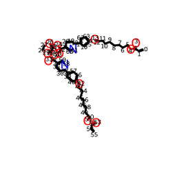 C=CC(=O)OCCCCCCCCOc1ccc(-c2ccc(C(=O)O[C@@H]3OCCO[C@H]3OC(=O)c3ccc(-c4ccc(OCCCCCCCCOC(=O)C=C)cc4)nc3)cn2)cc1